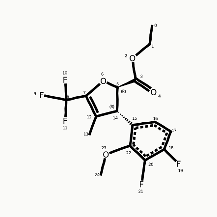 CCOC(=O)[C@@H]1OC(C(F)(F)F)=C(C)[C@H]1c1ccc(F)c(F)c1OC